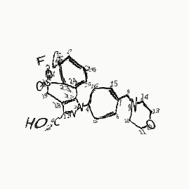 O=C(O)c1nn(-c2ccc(CN3CCOCC3)cc2)c2c1CS(=O)(=O)c1c-2cccc1C(F)(F)F